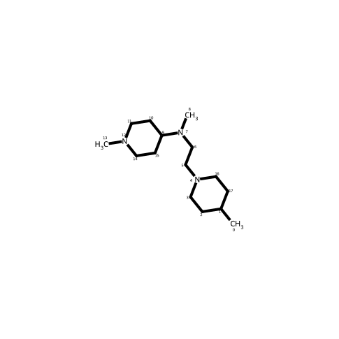 CC1CCN(CCN(C)C2CCN(C)CC2)CC1